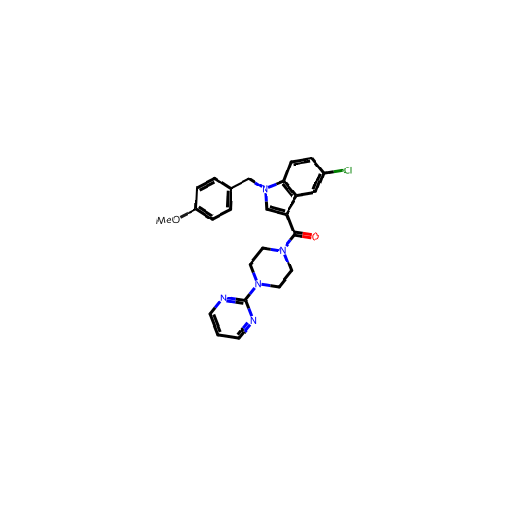 COc1ccc(Cn2cc(C(=O)N3CCN(c4ncccn4)CC3)c3cc(Cl)ccc32)cc1